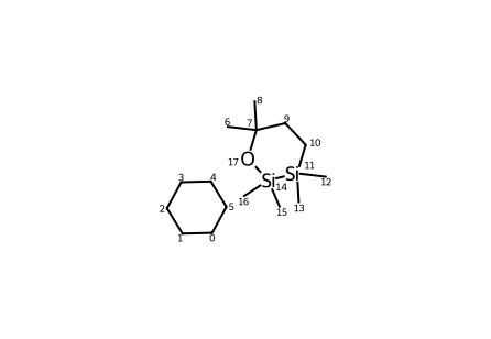 C1CCCCC1.CC1(C)CC[Si](C)(C)[Si](C)(C)O1